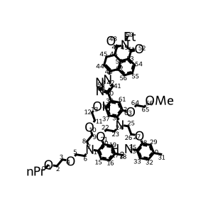 CCCOCCOCCN(CCOCCO)c1ccc(C)cc1OCCN(CCOc1cc(C)ccc1N)c1ccc(-c2cn(C3=CCC4C(=O)N(CC)C(=O)c5cccc3c54)nn2)cc1OCCOC